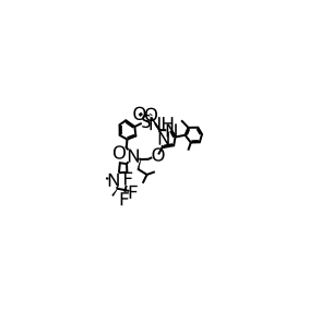 Cc1cccc(C)c1-c1cc2nc(n1)NS(=O)(=O)c1cccc(c1)C(=O)N(C1CC(N(C)[C@H](C)C(F)(F)F)C1)[C@H](CC(C)C)CO2